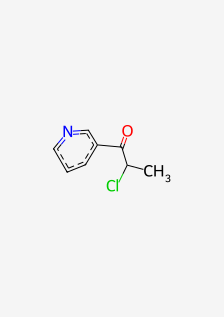 CC(Cl)C(=O)c1cccnc1